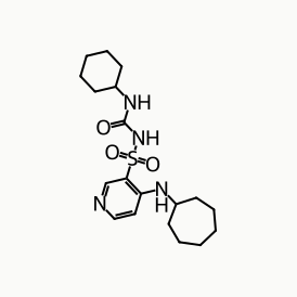 O=C(NC1CCCCC1)NS(=O)(=O)c1cnccc1NC1CCCCCC1